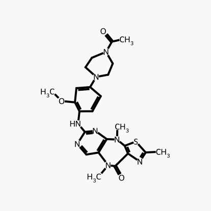 COc1cc(N2CCN(C(C)=O)CC2)ccc1Nc1ncc2c(n1)N(C)c1sc(C)nc1C(=O)N2C